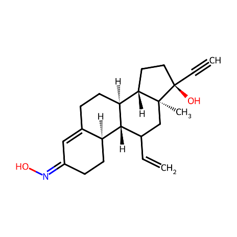 C#C[C@@]1(O)CC[C@H]2[C@@H]3CCC4=C/C(=N\O)CC[C@@H]4[C@H]3C(C=C)C[C@@]21C